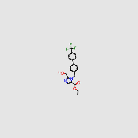 CCOC(=O)c1cnc(CO)n1Cc1ccc(-c2ccc(C(F)(F)F)cc2)cc1